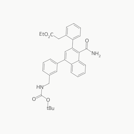 CCOC(=O)Cc1ccccc1-c1cc(-c2cccc(CNC(=O)OC(C)(C)C)c2)c2ccccc2c1C(N)=O